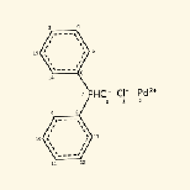 [Cl-].[Cl-].[Pd+2].c1ccc(Pc2ccccc2)cc1